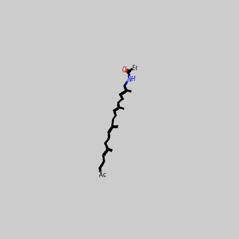 CCC(=O)NC/C(C)=C/CC/C(C)=C/CC/C(C)=C/CC/C(C)=C/CCC(C)=O